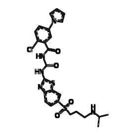 CC(C)NCCCS(=O)(=O)c1ccc2nc(NC(=O)NC(=O)c3cc(-n4cccc4)ccc3Cl)sc2c1